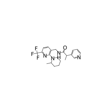 CC(C(=O)NCc1ccc(C(F)(F)F)nc1N1CCCCC1C)c1cccnc1